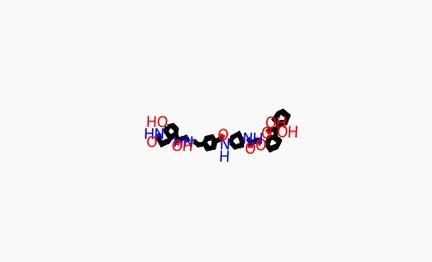 O=C(COc1cccc(C(O)(C(=O)O)c2ccccc2)c1)NC1CCC(NC(=O)c2ccc(CCNCC(O)c3ccc(O)c4[nH]c(=O)ccc34)cc2)CC1